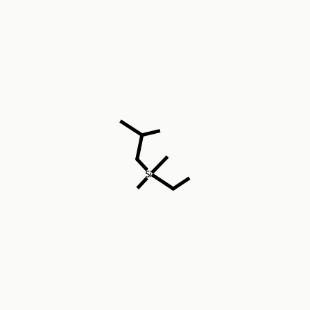 CC[Si](C)(C)CC(C)C